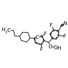 CCCC1CCC(c2cc(F)c(C(OO)c3cc(F)c(C#N)c(F)c3)c(F)c2)CC1